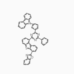 c1ccc(-c2nc(-c3cccc(-n4c5ccccc5c5ccccc54)c3)nc(-c3cccc4sc5c(-c6nc7ccccc7o6)cccc5c34)n2)cc1